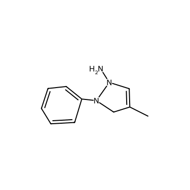 CC1=CN(N)N(c2ccccc2)C1